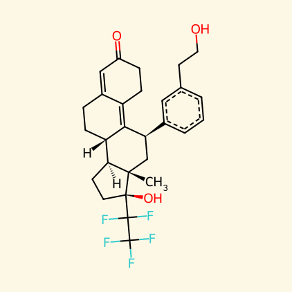 C[C@]12C[C@H](c3cccc(CCO)c3)C3=C4CCC(=O)C=C4CC[C@H]3[C@@H]1CC[C@@]2(O)C(F)(F)C(F)(F)F